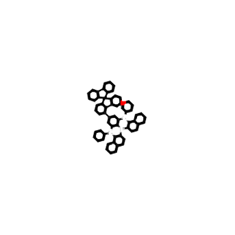 c1ccc(N2c3cc(-c4cccc5c4-c4ccccc4C54c5ccccc5-c5ccccc54)cc4c3B(c3ccc5ccccc5c32)c2ccc3ccccc3c2N4c2ccccc2)cc1